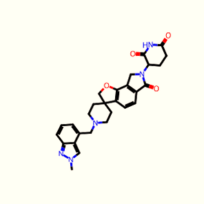 Cn1cc2c(CN3CCC4(CC3)COc3c4ccc4c3CN(C3CCC(=O)NC3=O)C4=O)cccc2n1